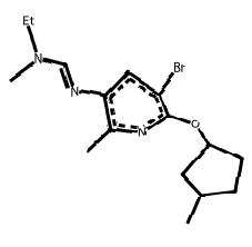 CCN(C)/C=N/c1cc(Br)c(OC2CCC(C)C2)nc1C